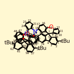 CC(C)(C)c1ccc2c(c1)C1(c3ccccc3Oc3ccc(N(c4ccccc4-n4c5ccccc5c5ccccc54)c4cccc5c4Oc4ccccc4C54c5cc(C(C)(C)C)ccc5-c5ccc(C(C)(C)C)cc54)cc31)c1cc(C(C)(C)C)ccc1-2